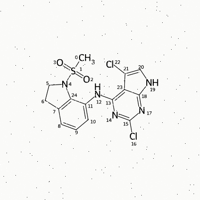 CS(=O)(=O)N1CCc2cccc(Nc3nc(Cl)nc4[nH]cc(Cl)c34)c21